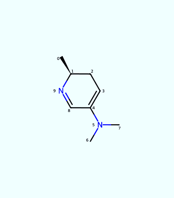 C[C@H]1CC=C(N(C)C)C=N1